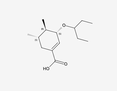 CCC(CC)O[C@@H]1C=C(C(=O)O)C[C@H](C)[C@H]1C